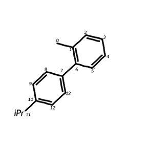 Cc1ccc[c]c1-c1ccc(C(C)C)cc1